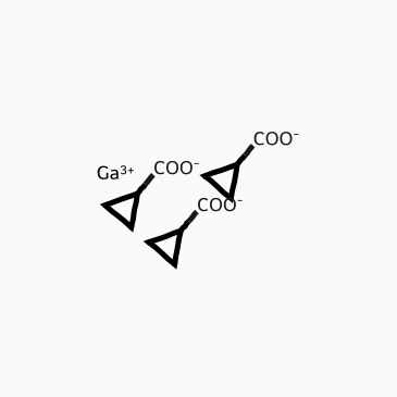 O=C([O-])C1CC1.O=C([O-])C1CC1.O=C([O-])C1CC1.[Ga+3]